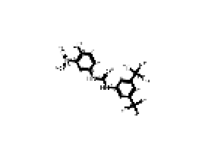 O=C(Nc1cc(C(F)(F)F)cc(C(F)(F)F)c1)Nc1ccc(Cl)c([N+](=O)[O-])c1